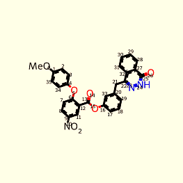 COc1ccc(Oc2ccc([N+](=O)[O-])cc2C(=O)Oc2cccc(Cc3n[nH]c(=O)c4ccccc34)c2)cc1